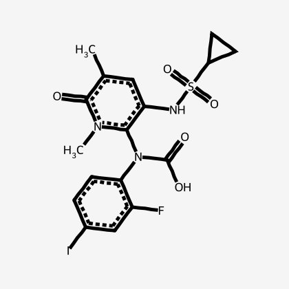 Cc1cc(NS(=O)(=O)C2CC2)c(N(C(=O)O)c2ccc(I)cc2F)n(C)c1=O